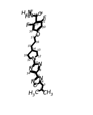 CC(C)Cc1nc(-c2cnc(N3CCC(CCCOc4cc(F)c(C(=O)NN)c(F)c4)CC3)nc2)no1